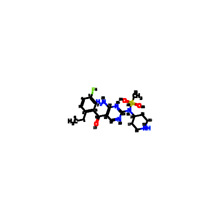 CCc1ccc(F)cc1C(=O)c1cnc(N(C2CCNCC2)S(C)(=O)=O)nc1N